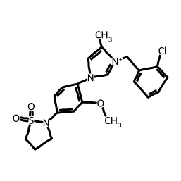 COc1cc(N2CCCS2(=O)=O)ccc1-n1cc(C)[n+](Cc2ccccc2Cl)c1